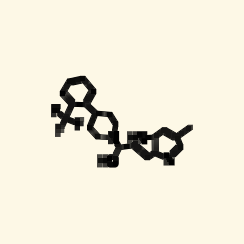 Cc1cnc2cc(C(O)N3CCC(c4ccccc4C(F)(F)F)CC3)[nH]c2c1